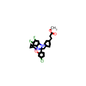 COC(=O)CCc1ccc(CC2(c3ccc(Cl)cc3OCC3CC3)Nc3cc(F)c(F)cc3N2)cc1